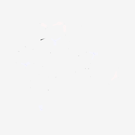 N#Cc1ccc(-c2ccc(C[C@H](NC(=O)c3c(F)cc(NC(C4CCOCC4)C(F)(F)F)cc3F)C(=O)O)c3cccnc23)c(Cl)c1